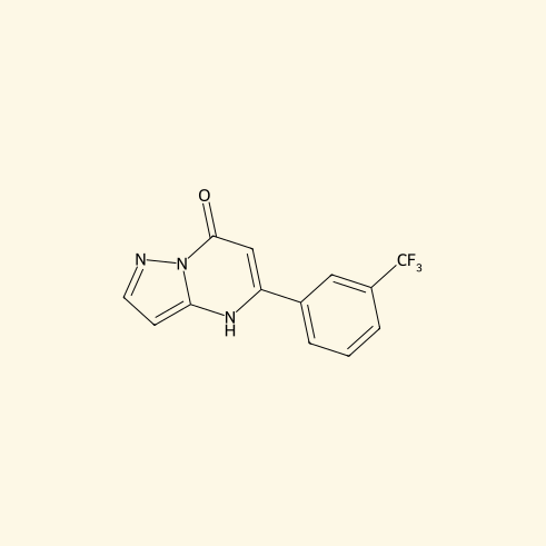 O=c1cc(-c2cccc(C(F)(F)F)c2)[nH]c2ccnn12